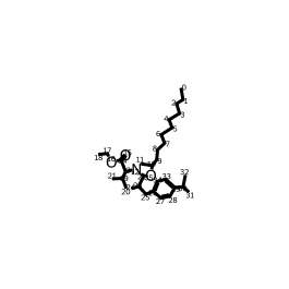 CCCCCCCCCCC1CN(C(C(=O)OCC)C(C)C)C(C(C)Cc2ccc(C(C)C)cc2)O1